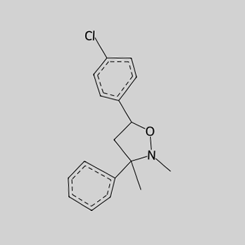 CN1OC(c2ccc(Cl)cc2)CC1(C)c1ccccc1